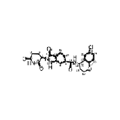 O=C1CCC(n2[nH]c3cc(C(=O)N[C@@H]4CCOc5ccc(Cl)cc54)ccc3c2=O)C(=O)N1